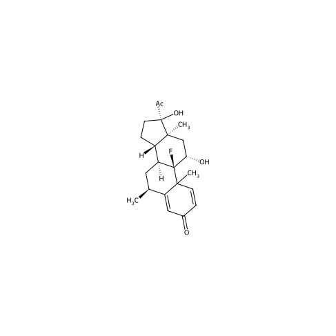 CC(=O)[C@@]1(O)CC[C@H]2[C@@H]3C[C@H](C)C4=CC(=O)C=CC4(C)[C@@]3(F)[C@@H](O)C[C@@]21C